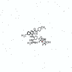 Cc1ccc2nc(C(=O)NC3CCC(C)CC3)nc(NC3CCCCC3NC(=N)N)c2c1.O=C(O)C(F)(F)F.O=C(O)C(F)(F)F